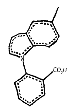 Cc1ccc2c(ccn2-c2ccccc2C(=O)O)c1